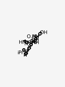 CC(C)c1ccccc1[C@H]1CN(C)CCN1C1CC2(CCN(c3ccc(C(=O)NS(=O)(=O)c4cnc(NCC5CCC(C)(O)CC5)c([N+](=O)[O-])c4)c(Oc4cnc5[nH]ccc5c4)c3)CC2)C1